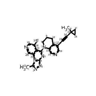 Cc1nnc2nc(N3CCCc4c(C#CC5(C)CC5)cncc43)c3c(F)cncc3n12